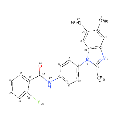 COc1cc2nc(C(F)(F)F)n(-c3ccc(NC(=O)c4ccccc4F)cc3)c2cc1OC